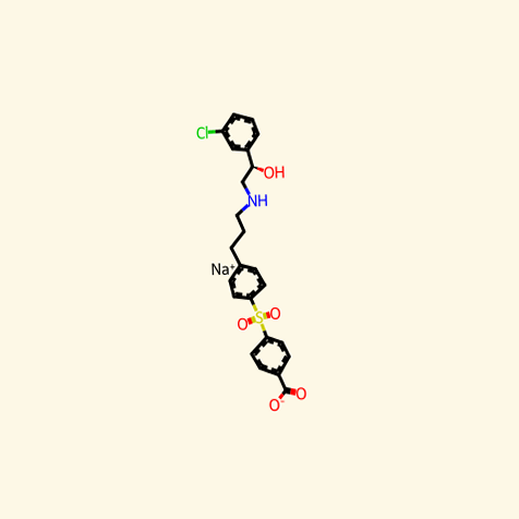 O=C([O-])c1ccc(S(=O)(=O)c2ccc(CCCNC[C@H](O)c3cccc(Cl)c3)cc2)cc1.[Na+]